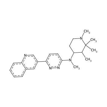 CC1C(N(C)c2ccc(-c3cnc4ccccc4c3)nn2)CCN(C)C1(C)C